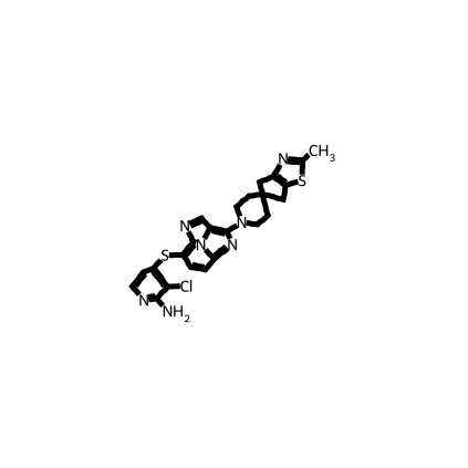 Cc1nc2c(s1)CC1(CCN(c3nc4ccc(Sc5ccnc(N)c5Cl)c5ncc3n45)CC1)C2